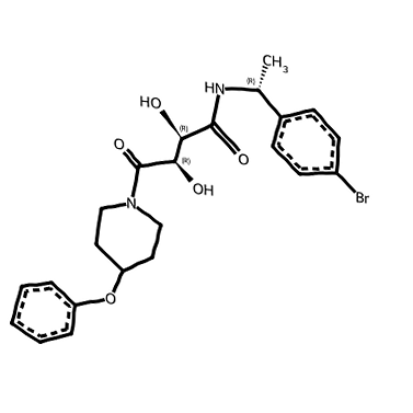 C[C@@H](NC(=O)[C@H](O)[C@@H](O)C(=O)N1CCC(Oc2ccccc2)CC1)c1ccc(Br)cc1